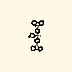 C#C/C=C\C(=C/C)P(=O)(c1ccc(N2c3ccccc3C3C=CC=CC32C)cc1)c1ccc(-n2c3ccccc3c3ccccc32)cc1